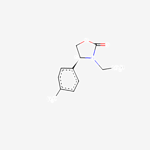 Cc1ccc([C@H]2COC(=O)N2CC(=O)O)cc1